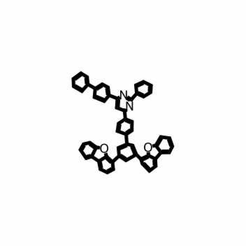 c1ccc(-c2ccc(-c3cc(-c4ccc(-c5cc(-c6cccc7c6oc6ccccc67)cc(-c6cccc7c6oc6ccccc67)c5)cc4)nc(-c4ccccc4)n3)cc2)cc1